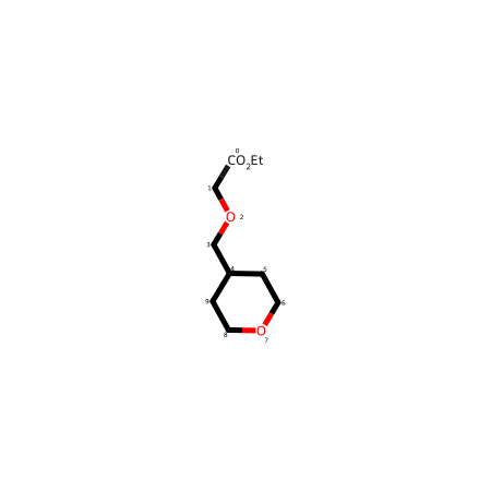 CCOC(=O)COCC1CCOCC1